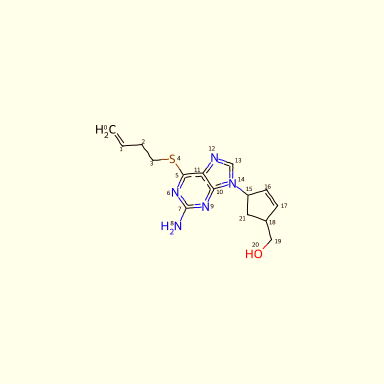 C=CCCSc1nc(N)nc2c1ncn2C1C=CC(CO)C1